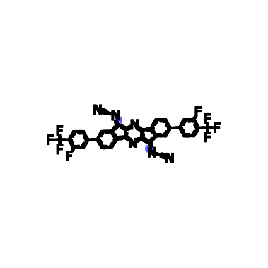 N#C/N=c1\c2cc(-c3ccc(C(F)(F)F)c(F)c3)ccc2c2nc3/c(=N/C#N)c4cc(-c5ccc(C(F)(F)F)c(F)c5)ccc4c3nc12